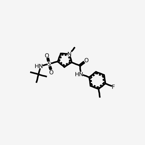 Cc1cc(NC(=O)c2cc(S(=O)(=O)NC(C)(C)C)cn2C)ccc1F